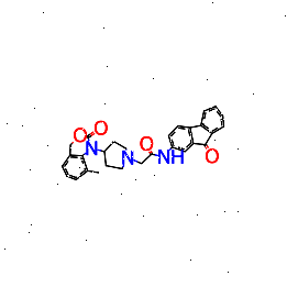 Cc1cccc2c1N(C1CCN(CC(=O)Nc3ccc4c(c3)C(=O)c3ccccc3-4)CC1)C(=O)OC2